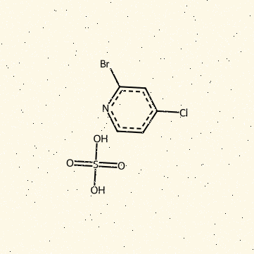 Clc1ccnc(Br)c1.O=S(=O)(O)O